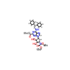 COC(=O)c1nc(NCC(c2ccccc2)c2ccccc2)c2ncn([C@@H]3C[C@H](N(OC(C)(C)C)C(=O)OC(C)(C)C)[C@@H](O)[C@H]3O)c2n1